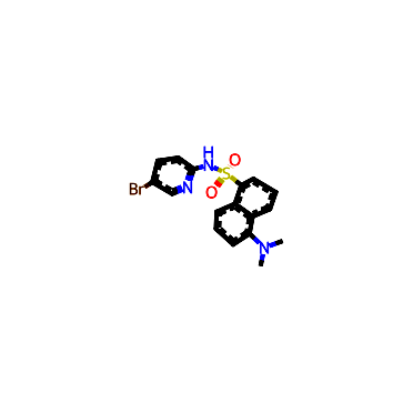 CN(C)c1cccc2c(S(=O)(=O)Nc3ccc(Br)cn3)cccc12